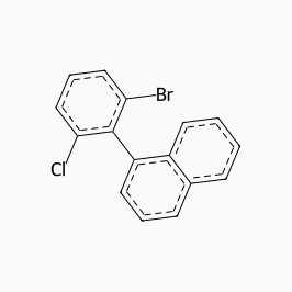 Clc1cccc(Br)c1-c1cccc2ccccc12